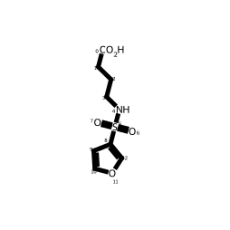 O=C(O)CCCNS(=O)(=O)c1ccoc1